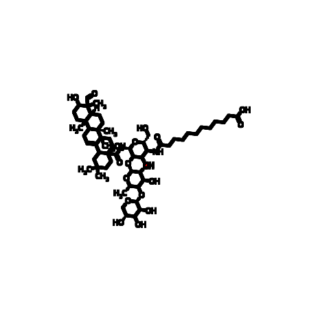 C[C@H]1O[C@@H](OC2C(O)C(NC(=O)CCCCCCCCCCC(=O)O)[C@@H](CO)O[C@H]2OC(=O)C23CCC(C)(C)CC2C2=CCC4C5(C)CCC(O)C(C)(C=O)[C@@H]5CC[C@@]4(C)[C@]2(C)C[C@@H]3O)C(O)C(O)C1O[C@@H]1OC[C@@H](O)C(O)C1O